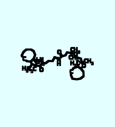 CC(C1CCCCCCCCC1)C(C)(C)C(=O)C(N)CCCCNC(=O)CCC(C)(C)OCCC(C)(C)OC1CCCCCCCCC1